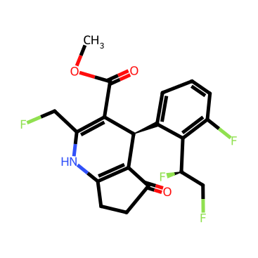 COC(=O)C1=C(CF)NC2=C(C(=O)CC2)[C@@H]1c1cccc(F)c1[C@H](F)CF